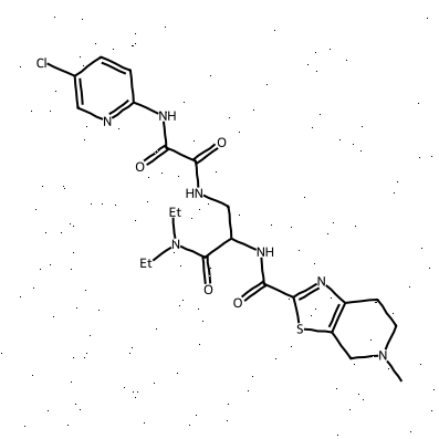 CCN(CC)C(=O)C(CNC(=O)C(=O)Nc1ccc(Cl)cn1)NC(=O)c1nc2c(s1)CN(C)CC2